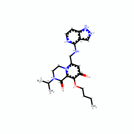 CCCCOc1c2n(c(CNc3nccc4[nH]ncc34)cc1=O)CCN(C(C)C)C2=O